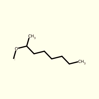 [C]OC(C)CCCCCC